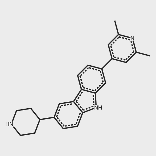 Cc1cc(-c2ccc3c(c2)[nH]c2ccc(C4CCNCC4)cc23)cc(C)n1